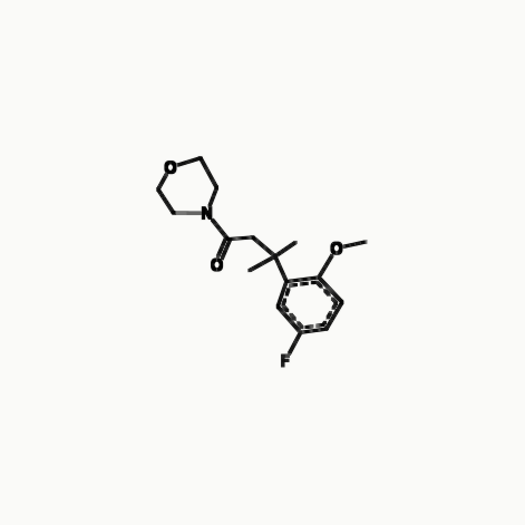 COc1ccc(F)cc1C(C)(C)CC(=O)N1CCOCC1